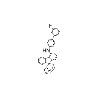 Fc1cccc(-c2ccc(Nc3cccc4c3-c3ccccc3C43C4CC5CC(C4)CC3C5)cc2)c1